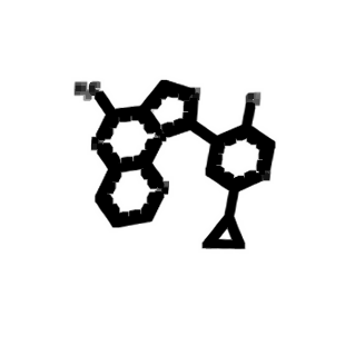 Cc1nc2cccnc2n2c(-c3cc(C4CC4)ncc3Cl)ncc12